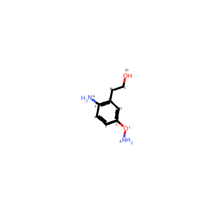 NOc1ccc(N)c(CCO)c1